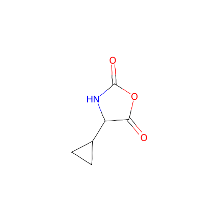 O=C1NC(C2CC2)C(=O)O1